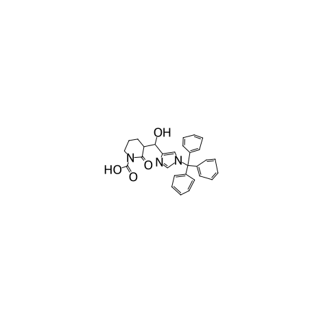 O=C(O)N1CCCC(C(O)c2cn(C(c3ccccc3)(c3ccccc3)c3ccccc3)cn2)C1=O